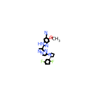 COc1cc2nc(-c3cnn4ccc(N5CCC[C@H]5c5cc(F)ccc5F)nc34)[nH]c2cc1C#N